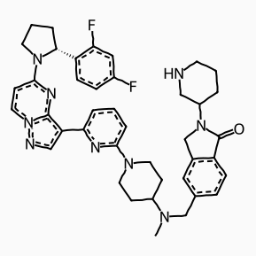 CN(Cc1ccc2c(c1)CN(C1CCCNC1)C2=O)C1CCN(c2cccc(-c3cnn4ccc(N5CCC[C@@H]5c5ccc(F)cc5F)nc34)n2)CC1